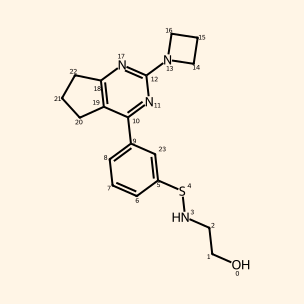 OCCNSc1cccc(-c2nc(N3CCC3)nc3c2CCC3)c1